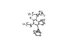 CSc1c(F)c(N(C)C)c2[nH]ncc2c1-c1cncs1